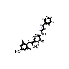 Cc1cc(O)cc(C)c1CC(N)C(=O)N[C@H](C)C(=O)N/C=C/Cc1cccnc1